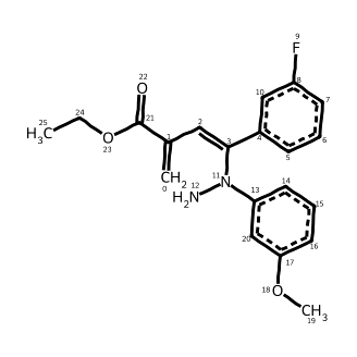 C=C(/C=C(/c1cccc(F)c1)N(N)c1cccc(OC)c1)C(=O)OCC